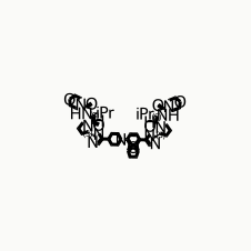 CC(C)[C@H](NC(=O)N1CCOCC1)C(=O)N1CCC[C@H]1c1ncc(-c2ccc(N3CCC(c4cnc([C@@H]5CCCN5C(=O)[C@@H](NC(=O)N5CCOCC5)C(C)C)[nH]4)CC3)c3c2C2CCC3O2)[nH]1